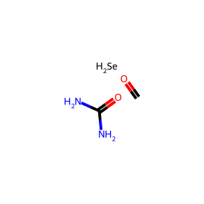 C=O.NC(N)=O.[SeH2]